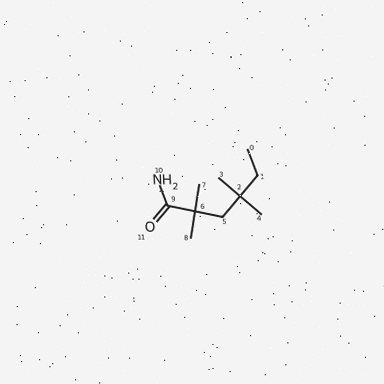 CCC(C)(C)CC(C)(C)C(N)=O